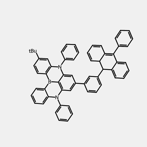 CC(C)(C)c1ccc2c(c1)N(c1ccccc1)c1cc(-c3cccc(C4c5ccccc5C(c5ccccc5)=C5C=CC=CC54)c3)cc3c1B2c1ccccc1N3c1ccccc1